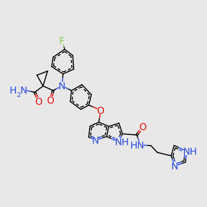 NC(=O)C1(C(=O)N(c2ccc(F)cc2)c2ccc(Oc3ccnc4[nH]c(C(=O)NCCc5c[nH]cn5)cc34)cc2)CC1